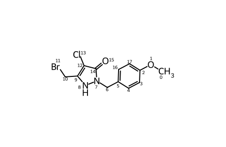 COc1ccc(Cn2[nH]c(CBr)c(Cl)c2=O)cc1